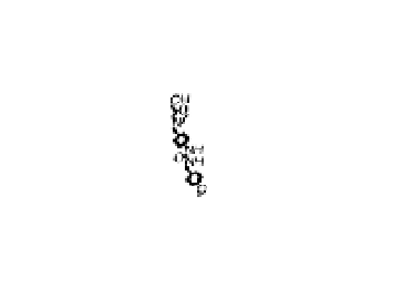 COc1ccc(CNC(=O)Nc2ccc(CN3CCOC(CO)C3)cc2)cc1